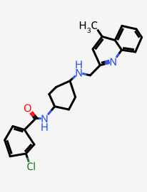 Cc1cc(CNC2CCC(NC(=O)c3cccc(Cl)c3)CC2)nc2ccccc12